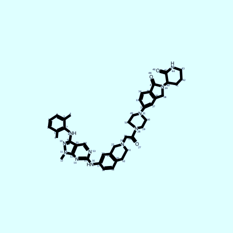 Cc1cccc(C)c1Nc1nn(C)c2nc(Nc3ccc4c(c3)CN(CC(=O)N3CCN(c5ccc6c(c5)CN(C5CCCNC5=O)C6=O)CC3)CC4)ncc12